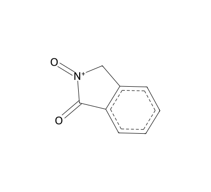 O=C1c2ccccc2C[N+]1=O